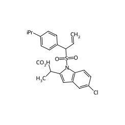 C=CC(c1ccc(C(C)C)cc1)S(=O)(=O)n1c(C(C)C(=O)O)cc2cc(Cl)ccc21